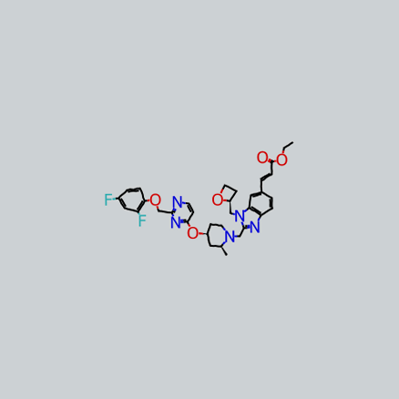 CCOC(=O)/C=C/c1ccc2nc(CN3CC[C@H](Oc4ccnc(COc5ccc(F)cc5F)n4)C[C@@H]3C)n(C[C@@H]3CCO3)c2c1